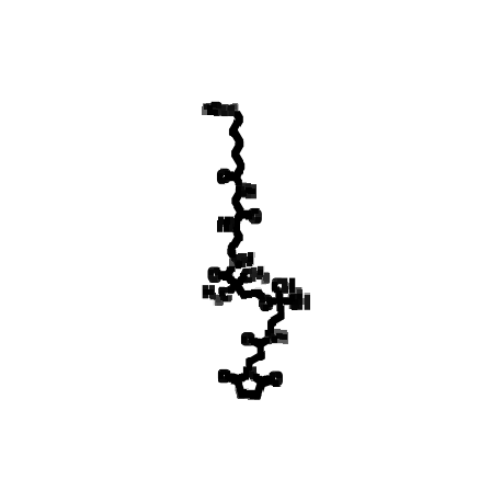 CCCCCCCCCCCCCCCC(=O)NCC(=O)NCCNC(=O)C(C)(C)CCOC(C)(S)CCNC(=O)CCN1C(=O)C=CC1=O